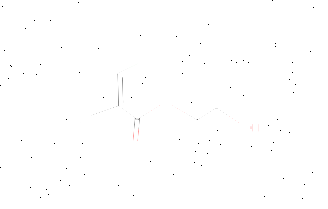 CC(=CCl)C(=O)OCCO